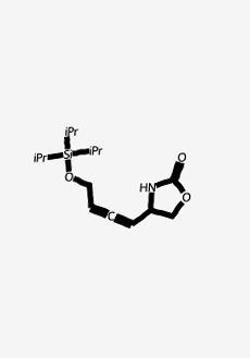 CC(C)[Si](OCC=C=CC1COC(=O)N1)(C(C)C)C(C)C